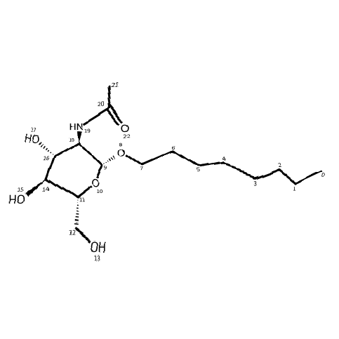 CCCCCCCCO[C@@H]1O[C@H](CO)[C@@H](O)[C@H](O)[C@H]1NC(C)=O